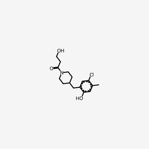 Cc1cc(O)c(CC2CCN(C(=O)CCO)CC2)cc1Cl